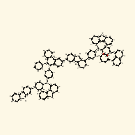 c1ccc(-c2c(-c3ccc(N(c4ccc(-c5ccc6c(c5)sc5ccccc56)cc4)c4cccc5oc6ccccc6c45)cc3)c3ccc(-c4ccc5sc6c(-c7ccc(N(c8ccc(-c9cccc%10cccc(-c%11ccccc%11)c9%10)cc8)c8cccc9oc%10ccccc%10c89)cc7)cccc6c5c4)cc3c3ccccc23)cc1